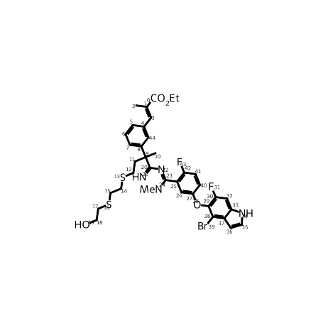 CCOC(=O)/C(C)=C/c1cccc(C(C)(CCSCCSCCO)C(=N)/N=C(\NC)c2cc(Oc3c(F)cc4[nH]ccc4c3Br)ccc2F)c1